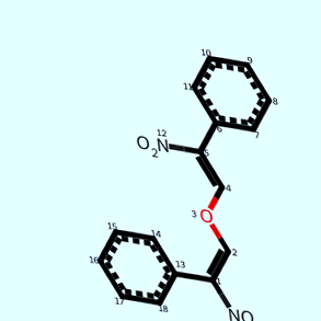 O=[N+]([O-])C(=COC=C(c1ccccc1)[N+](=O)[O-])c1ccccc1